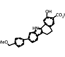 COCc1ccc(-c2ccc3c4c([nH]c3c2)-c2cc(O)c(C(=O)O)cc2CC4)cc1